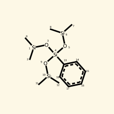 C[Si](C)O[Si](O[Si](C)C)(O[Si](C)C)c1ccccc1